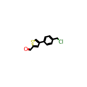 O=Cc1cc(-c2ccc(CCl)cc2)cs1